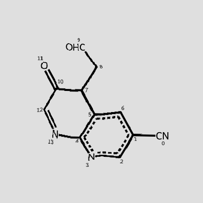 N#Cc1cnc2c(c1)C(CC=O)C(=O)C=N2